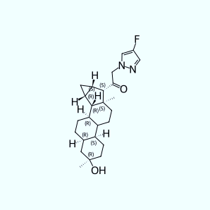 C[C@@]1(O)CC[C@@H]2C3CC[C@@]4(C)[C@@H]([C@@H]5C[C@@H]5[C@@H]4C(=O)Cn4cc(F)cn4)[C@@H]3CC[C@@H]2C1